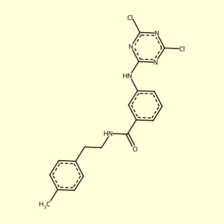 Cc1ccc(CCNC(=O)c2cccc(Nc3nc(Cl)nc(Cl)n3)c2)cc1